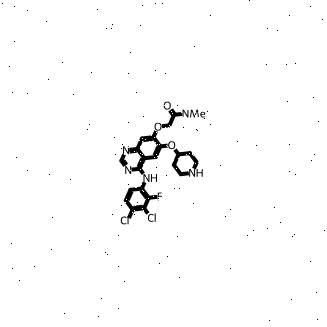 CNC(=O)COc1cc2ncnc(Nc3ccc(Cl)c(Cl)c3F)c2cc1OC1CCNCC1